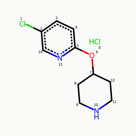 Cl.Clc1ccc(OC2CCNCC2)nc1